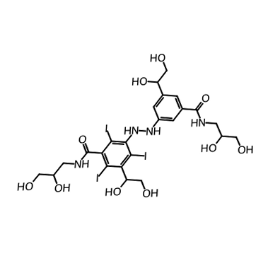 O=C(NCC(O)CO)c1cc(NNc2c(I)c(C(=O)NCC(O)CO)c(I)c(C(O)CO)c2I)cc(C(O)CO)c1